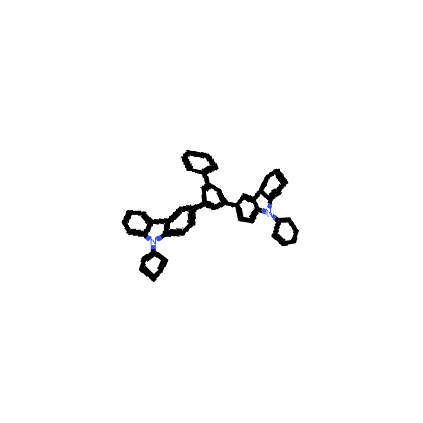 C1=CC(n2c3ccccc3c3cc(-c4cc(-c5ccccc5)cc(-c5ccc6c(c5)c5ccccc5n6-c5ccccc5)c4)ccc32)CCC1